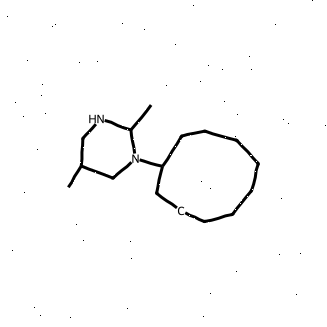 CC1CNC(C)N(C2CCCCCCCCC2)C1